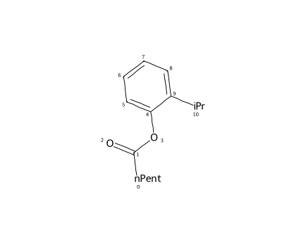 CCCCCC(=O)Oc1ccccc1C(C)C